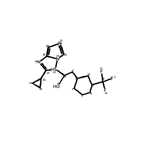 OC(CC1CCCC(C(F)(F)F)C1)[SH]1C(C2CC2)=Nc2cncn21